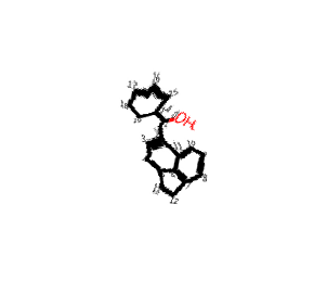 OC(c1ccc2c3c(cccc13)CC2)C1CCCCC1